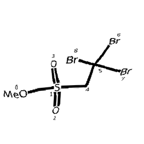 COS(=O)(=O)CC(Br)(Br)Br